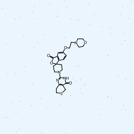 O=C1OC2(CCN(c3nc4c(c(=O)[nH]3)CSCC4)CC2)c2ccc(OCCN3CCOCC3)cc21